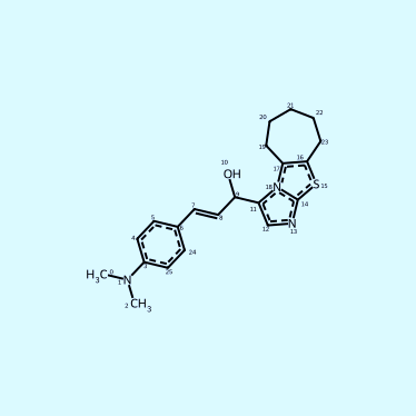 CN(C)c1ccc(C=CC(O)c2cnc3sc4c(n23)CCCCC4)cc1